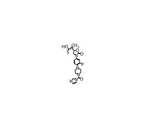 CN(C(O)=S)C1CN(c2ccc(N3CCN(C(=O)n4ccnc4)CC3)c(F)c2)C(=O)O1